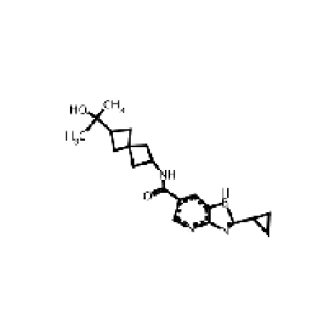 CC(C)(O)C1CC2(CC(NC(=O)c3cnc4c(c3)BC(C3CC3)=N4)C2)C1